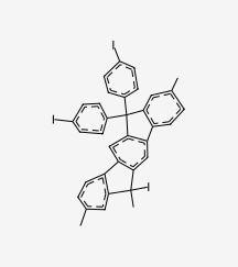 Cc1ccc2c(c1)C(C)(I)c1cc3c(cc1-2)C(c1ccc(I)cc1)(c1ccc(I)cc1)c1cc(C)ccc1-3